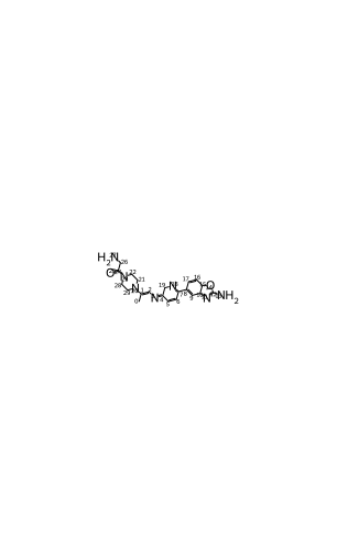 C/C(=C\N=C1\C=CC(C2=CC3N=C(N)OC3C=C2)=NC1)N1CCN(C(=O)CN)CC1